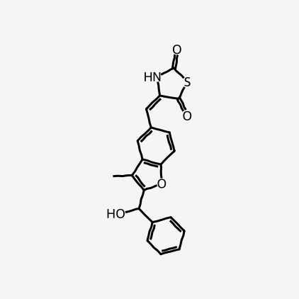 Cc1c(C(O)c2ccccc2)oc2ccc(C=C3NC(=O)SC3=O)cc12